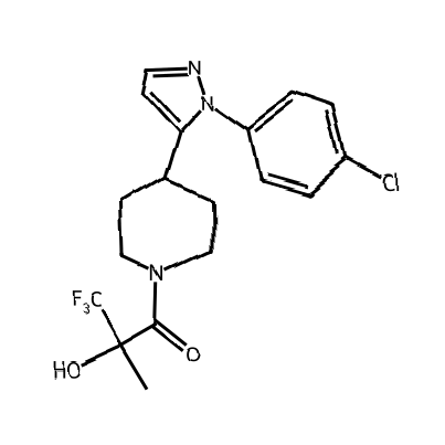 CC(O)(C(=O)N1CCC(c2ccnn2-c2ccc(Cl)cc2)CC1)C(F)(F)F